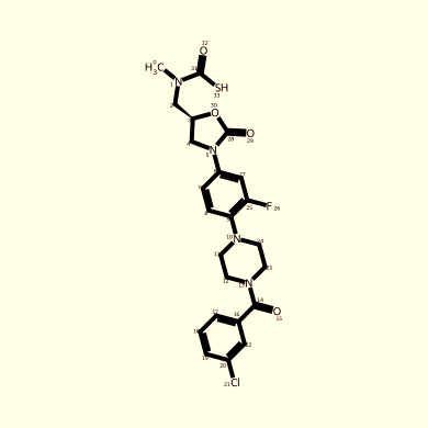 CN(C[C@@H]1CN(c2ccc(N3CCN(C(=O)c4cccc(Cl)c4)CC3)c(F)c2)C(=O)O1)C(=O)S